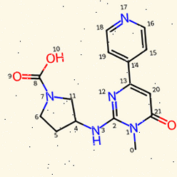 Cn1c(NC2CCN(C(=O)O)C2)nc(-c2ccncc2)cc1=O